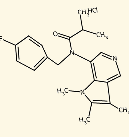 Cc1c(C)n(C)c2c(N(Cc3ccc(F)cc3)C(=O)C(C)C)cncc12.Cl